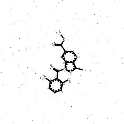 COC(=O)c1cnc2c(I)nn(C(=O)c3c(C)cccc3Cl)c2c1